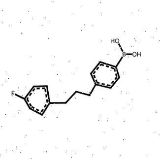 OB(O)c1ccc(CCCc2ccc(F)cc2)cc1